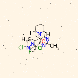 Cc1nc(-c2ccnn2C)c2c(n1)[C@H]1CCC[C@@H](C2)N1C(=O)c1ccc(Cl)c(F)c1Cl